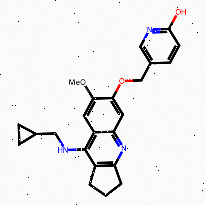 COc1cc2c(NCC3CC3)c3c(nc2cc1OCc1ccc(O)nc1)CCC3